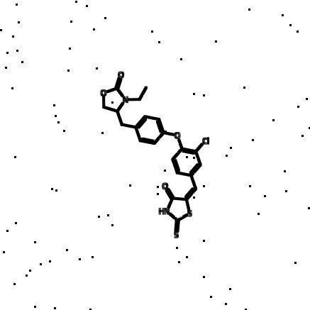 CCN1C(=O)OCC1Cc1ccc(Oc2ccc(C=C3SC(=S)NC3=O)cc2Cl)cc1